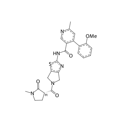 COc1ccccc1-c1cc(C)ncc1C(=O)Nc1nc2c(s1)CN(C(=O)[C@@H]1CCN(C)C1=O)C2